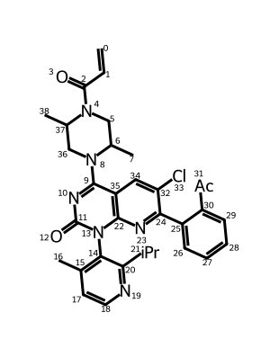 C=CC(=O)N1CC(C)N(c2nc(=O)n(-c3c(C)ccnc3C(C)C)c3nc(-c4ccccc4C(C)=O)c(Cl)cc23)CC1C